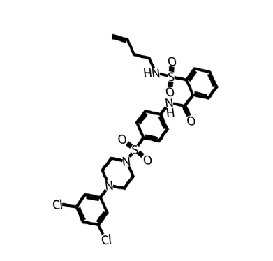 C=CCCNS(=O)(=O)c1ccccc1C(=O)Nc1ccc(S(=O)(=O)N2CCN(c3cc(Cl)cc(Cl)c3)CC2)cc1